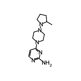 CC1CCCN1N1CCN(c2ccnc(N)n2)CC1